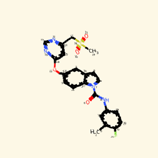 Cc1cc(NC(=O)n2ccc3cc(Oc4cc(CS(C)(=O)=O)ncn4)ccc32)ccc1F